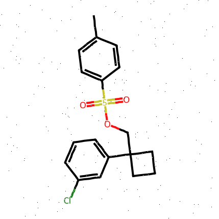 Cc1ccc(S(=O)(=O)OCC2(c3cccc(Cl)c3)CCC2)cc1